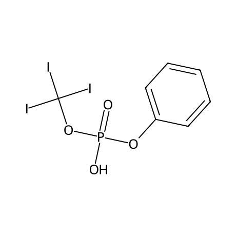 O=P(O)(Oc1ccccc1)OC(I)(I)I